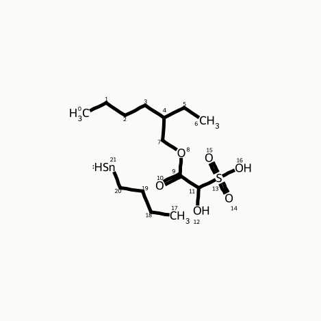 CCCCC(CC)COC(=O)C(O)S(=O)(=O)O.CCC[CH2][SnH]